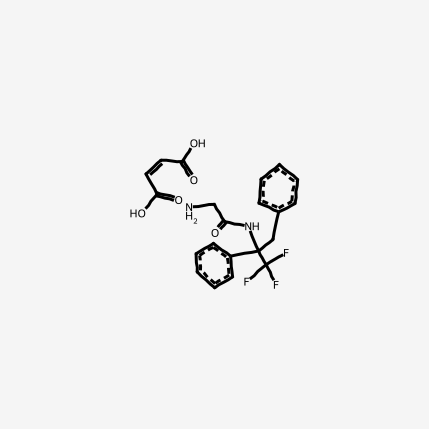 NCC(=O)NC(Cc1ccccc1)(c1ccccc1)C(F)(F)F.O=C(O)/C=C\C(=O)O